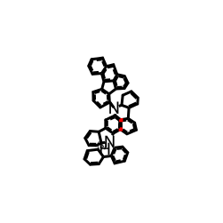 C1=CCC(c2ccccc2N2c3ccc(N(c4cccc5c4-c4cccc6cc7ccccc7c-5c46)C4CC=CC=C4c4ccccc4)cc3C3C=CC=C[C@@H]32)C=C1